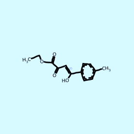 CCOC(=O)C(=O)/C=C(\O)c1ccc(C)cc1